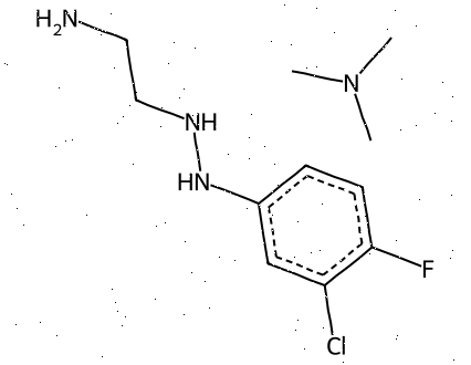 CN(C)C.NCCNNc1ccc(F)c(Cl)c1